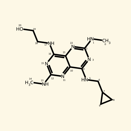 CNc1nc(NCC2CC2)c2nc(NC)nc(NCCO)c2n1